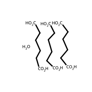 O.O=C(O)CCCCC(=O)O.O=C(O)CCCCC(=O)O.O=C(O)CCCCC(=O)O